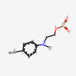 CCN(CCO[SH](=O)=O)c1ccc(NC)cc1